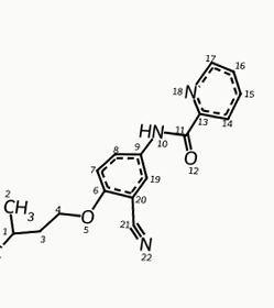 CC(C)CCOc1ccc(NC(=O)c2ccccn2)cc1C#N